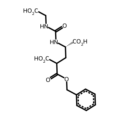 O=C(O)CNC(=O)N[C@@H](CC(C(=O)O)C(=O)OCc1ccccc1)C(=O)O